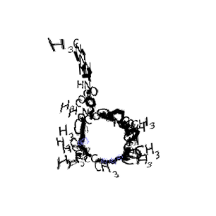 CO[C@H]1C[C@@H]2CC[C@@H](C)[C@@](O)(O2)C(=O)C(=O)N2CCCC[C@H]2C(=O)O[C@H]([C@H](N)C[C@@H]2CC[C@@H](OC(=O)NCc3cnc(N4CCN(C)CC4)nc3)[C@H](OC)C2)CC(=O)[C@H](C)/C=C(\C)[C@@H](O)[C@@H](OC)C(=O)C(C)C[C@H](C)/C=C/C=C/C=C/1C